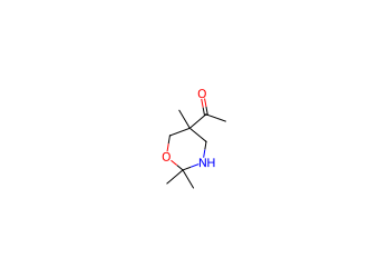 CC(=O)C1(C)CNC(C)(C)OC1